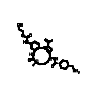 C=C(C)c1sc2cc1-c1ccc(NC(=O)OCCO)cc1NC(=O)[C@H](C)CCC[C@@H]2NC(=O)[C@H]1CC[C@H](CN)CC1